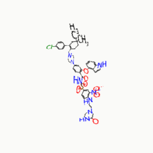 CC1(C)CCC(CN2CCN(c3ccc(C(=O)NS(=O)(=O)c4ccc(NCCN5CCNC(=O)C5)c([N+](=O)[O-])c4)c(Oc4cccc5[nH]ccc45)c3)CC2)=C(c2ccc(Cl)cc2)C1